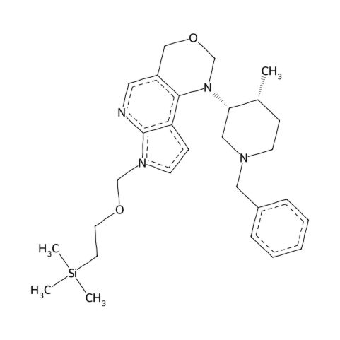 C[C@@H]1CCN(Cc2ccccc2)C[C@@H]1N1COCc2cnc3c(ccn3COCC[Si](C)(C)C)c21